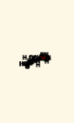 Cc1cnc(Nc2cnn(C3C[C@H]4CC[C@@H](C3)N4CC(F)(F)F)c2)nc1-c1ccc(C(=O)O)cc1